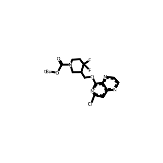 CC(C)(C)OC(=O)N1CCC(F)(F)C(COc2nc(Cl)cc3nccnc23)C1